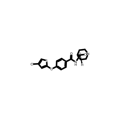 O=C(N[C@H]1CN2CCC1CC2)c1ccc(Oc2cc(Cl)cs2)cc1